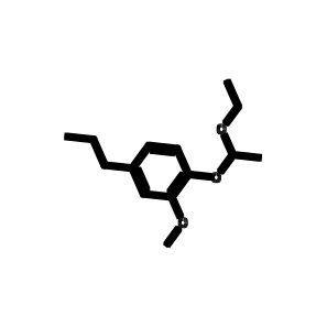 CCCc1ccc(OC(C)OCC)c(OC)c1